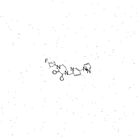 O=C1C(=O)N(C23CC(F)(C2)C3)CCN1Cc1ccc(-n2cccn2)cn1